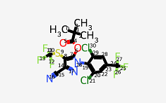 CC(C)(C)C(=O)Oc1c(SC(F)(F)F)c(C#N)nn1-c1c(Cl)cc(C(F)(F)F)cc1Cl